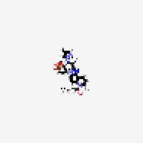 COC(=O)N1c2ccc3c(nc([C@H](C)Cn4cc(C)cn4)n3[C@@H]3CCS(=O)(=O)C3)c2CC[C@@H]1C